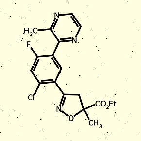 CCOC(=O)C1(C)CC(c2cc(-c3nccnc3C)c(F)cc2Cl)=NO1